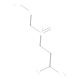 CCCCOC[PH](=O)CCC(N)C#N